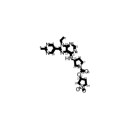 CCn1c(-c2cnc(C)nc2)nc2c(N[C@H]3CCN(C(=O)OC4CCS(=O)(=O)C4)C3)ncnc21